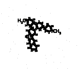 Cc1ccc(-c2ccc(-c3ccc(C)cc3-c3ccc4c(c3)oc3cc5ccccc5cc34)cc2)cc1